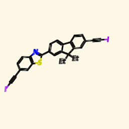 CCC1(CC)c2cc(C#CI)ccc2-c2ccc(-c3nc4ccc(C#CI)cc4s3)cc21